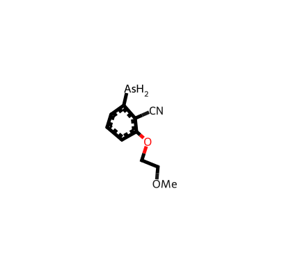 COCCOc1cccc([AsH2])c1C#N